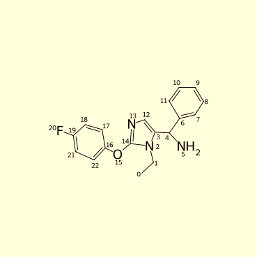 CCn1c(C(N)c2ccccc2)cnc1Oc1ccc(F)cc1